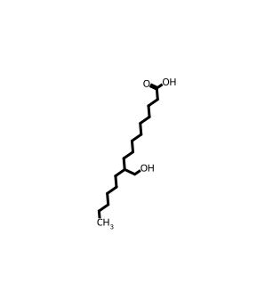 CCCCCCC(CO)CCCCCCCCC(=O)O